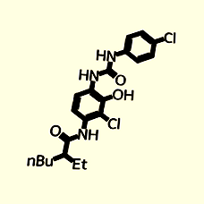 CCCCC(CC)C(=O)Nc1ccc(NC(=O)Nc2ccc(Cl)cc2)c(O)c1Cl